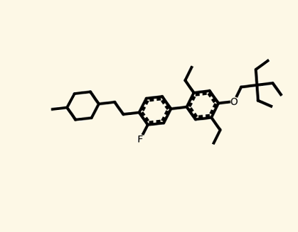 CCc1cc(-c2ccc(CCC3CCC(C)CC3)c(F)c2)c(CC)cc1OCC(CC)(CC)CC